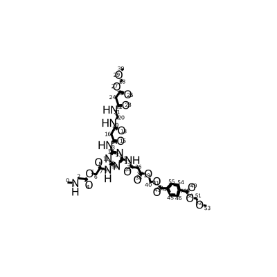 CNCC(=O)OCC(=O)Nc1nc(NC(=O)CC(=O)NCNC(=O)CC(=O)OCOC)nc(NC(=O)CC(=O)OCOC(=O)c2ccc(C(=O)OCOC)cc2)n1